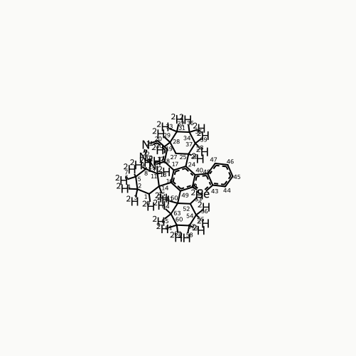 [2H]C1C([2H])([2H])C([2H])([2H])C([2H])([2H])C([2H])([2H])C1([2H])c1c(-c2ccnnn2)c(C2([2H])CC([2H])([2H])C([2H])([2H])C([2H])([2H])C2([2H])[2H])c2c([se]c3ccccc32)c1C1([2H])C([2H])C([2H])([2H])C([2H])([2H])C([2H])([2H])C1([2H])[2H]